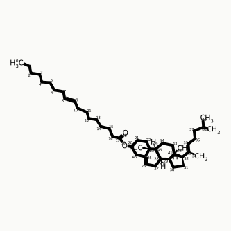 CCCCCCCC/C=C/CCCCCCCC(=O)OC1CC[C@@]2(C)C(=CC[C@H]3[C@@H]4CC[C@H]([C@H](C)CCCC(C)C)[C@@]4(C)CC[C@@H]32)C1